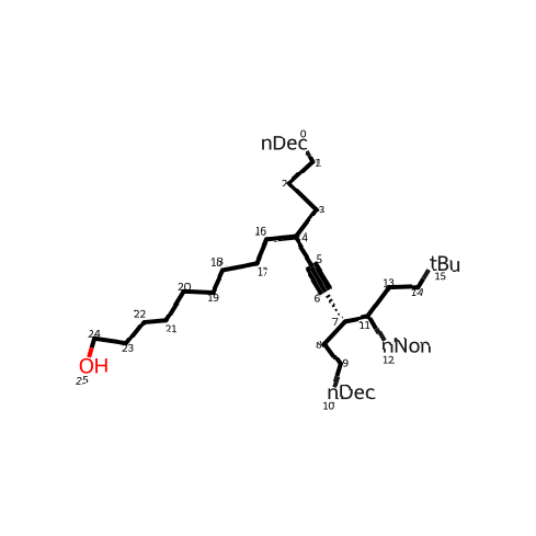 CCCCCCCCCCCCCC(C#C[C@@H](CCCCCCCCCCCC)C(CCCCCCCCC)CCC(C)(C)C)CCCCCCCCCO